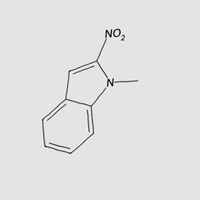 Cn1c([N+](=O)[O-])cc2ccccc21